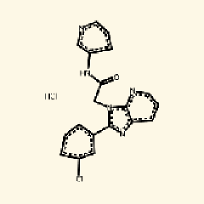 Cl.O=C(Cn1c(-c2cccc(Cl)c2)nc2cccnc21)Nc1cccnc1